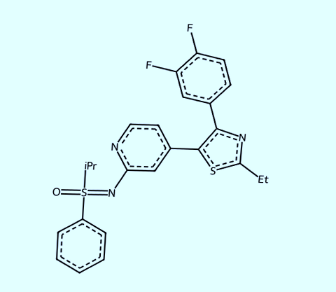 CCc1nc(-c2ccc(F)c(F)c2)c(-c2ccnc(N=S(=O)(c3ccccc3)C(C)C)c2)s1